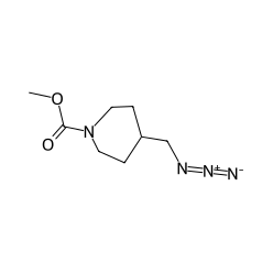 COC(=O)N1CCC(CN=[N+]=[N-])CC1